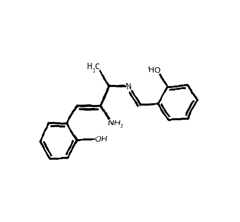 CC(N=Cc1ccccc1O)C(N)=Cc1ccccc1O